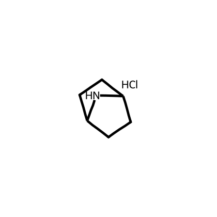 C1CC2CCC1N2.Cl